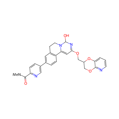 CNC(=O)c1ccc(-c2ccc3c(c2)CCN2C3=CC(OCC3COc4ncccc4O3)=NC2O)cn1